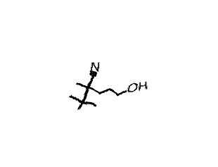 CC(C)(C)C(C)(C#N)CCCO